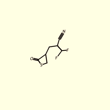 N#C[C](CC1CSC1=O)C(F)F